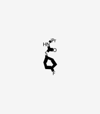 CC(C)NC(=O)Sc1ccc(F)cc1